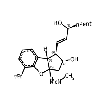 CCCCC[C@H](O)C=C[C@@H]1[C@H]2c3cccc(CCC)c3O[C@H]2C[C@H]1O.CNC